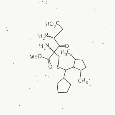 COC(=O)[C@@](N)(CSC(C1CCCC1)C1C(C)CCC1C)C(=O)[C@@H](N)CC(=O)O